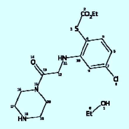 CCO.CCOC(=O)Sc1ccc(Cl)cc1NCC(=O)N1CCNCC1